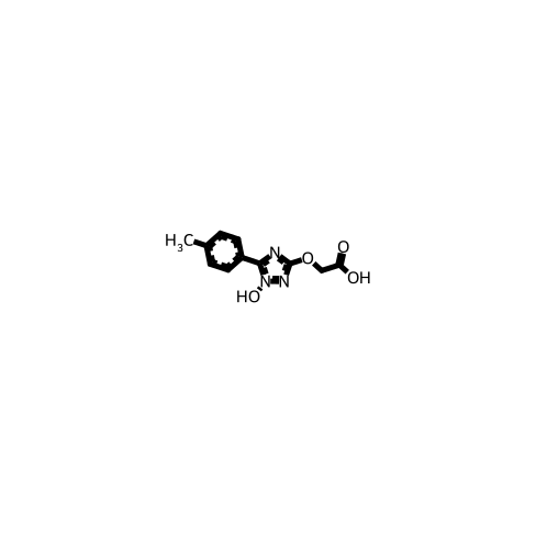 Cc1ccc(-c2nc(OCC(=O)O)nn2O)cc1